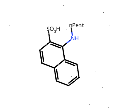 CCCCCNc1c(S(=O)(=O)O)ccc2ccccc12